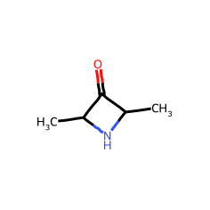 CC1NC(C)C1=O